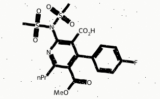 CCCc1nc(N(S(C)(=O)=O)S(C)(=O)=O)c(C(=O)O)c(-c2ccc(F)cc2)c1C(=O)OC